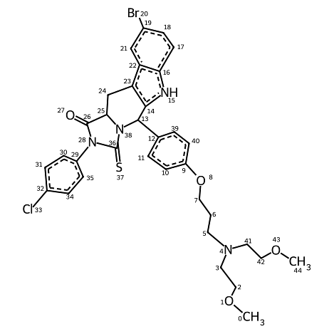 COCCN(CCCOc1ccc(C2c3[nH]c4ccc(Br)cc4c3CC3C(=O)N(c4ccc(Cl)cc4)C(=S)N32)cc1)CCOC